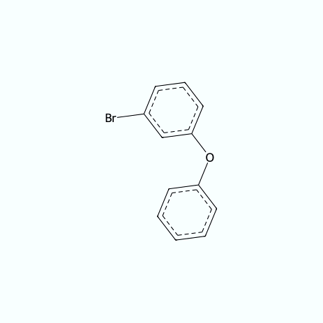 Brc1cccc(Oc2ccccc2)c1